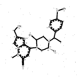 CCC1CN(C(C)c2ccc(OC(C)C)cn2)[C@H](CC)CN1c1cc(=O)n(C)n2cc(CC#N)nc12